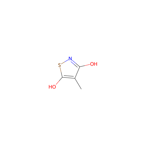 Cc1c(O)nsc1O